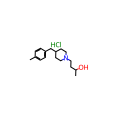 Cc1ccc(CC2CCN(CCC(C)O)CC2)cc1.Cl